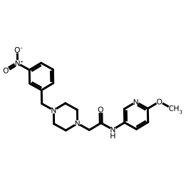 COc1ccc(NC(=O)CN2CCN(Cc3cccc([N+](=O)[O-])c3)CC2)cn1